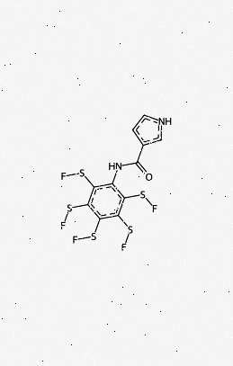 O=C(Nc1c(SF)c(SF)c(SF)c(SF)c1SF)c1cc[nH]c1